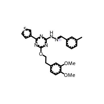 COc1ccc(CCOc2nc(N/N=C/c3cccc(C)c3)nc(-c3ccsc3)n2)cc1OC